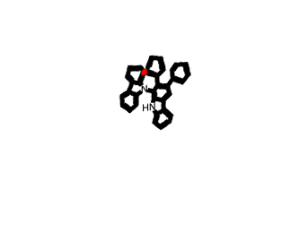 c1ccc(-c2cc3c([nH]c4ccccc43)c(-n3c4ccccc4c4ccccc43)c2-c2ccccc2)cc1